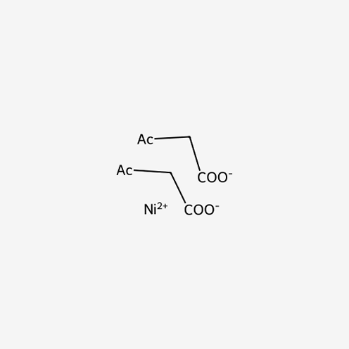 CC(=O)CC(=O)[O-].CC(=O)CC(=O)[O-].[Ni+2]